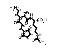 CC(C)[C@@H](C(=O)N[C@@H](CCCNC(N)=O)C(=O)O)N(CCN)C(=O)CCN1C(=O)CCC1=S